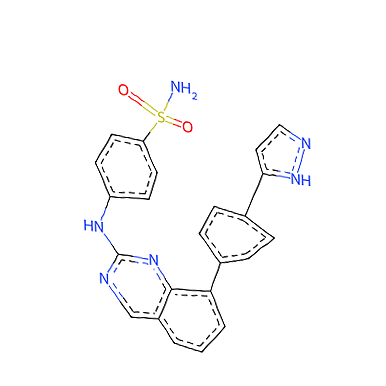 NS(=O)(=O)c1ccc(Nc2ncc3cccc(-c4ccc(-c5ccn[nH]5)cc4)c3n2)cc1